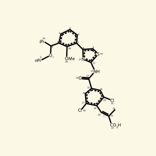 CCCOC(c1cccc(-c2csc(NC(=O)c3cc(Cl)c(/C=C(\C)C(=O)O)c(Cl)c3)n2)c1OC)C(C)C